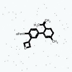 C=C(C)C1CCC(C)=CC1c1ccc(CCCCC)c(C2COC2)c1